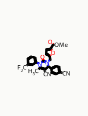 COC(=O)c1ccc(CN2C(=O)N(c3cccc(C(F)(F)F)c3)C(C)=C(C#N)C2c2ccc(C#N)cc2)o1